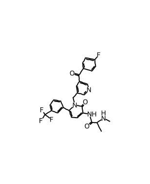 CNC(C)C(=O)Nc1ccc(-c2cccc(C(F)(F)F)c2)n(Cc2cncc(C(=O)c3ccc(F)cc3)c2)c1=O